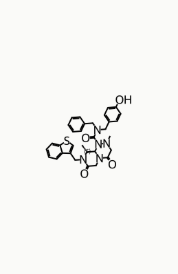 C[C@H]1C2N(CC(=O)N1Cc1csc3ccccc13)C(=O)CN(C)N2C(=O)N(Cc1ccccc1)Cc1ccc(O)cc1